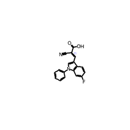 N#C/C(=C\c1cn(-c2ccccc2)c2cc(F)ccc12)C(=O)O